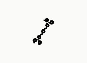 Cc1cccc(N(c2ccccc2)c2ccc(C=Cc3ccc(C=Cc4ccc(N(c5ccccc5)c5cccc(C)c5)cc4)cc3)cc2)c1